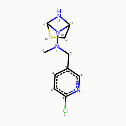 CN(Cc1ccc(Cl)nc1)N1C2CSC1N2